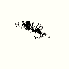 CCOc1ccc2nc(SCc3nc4cc(OC)c(OC)cc4c(=O)[nH]3)sc2c1